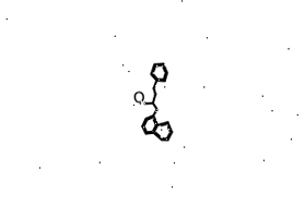 O=[C]C(CCc1ccccc1)Cc1cccc2ccccc12